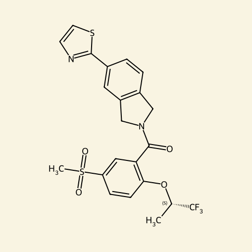 C[C@H](Oc1ccc(S(C)(=O)=O)cc1C(=O)N1Cc2ccc(-c3nccs3)cc2C1)C(F)(F)F